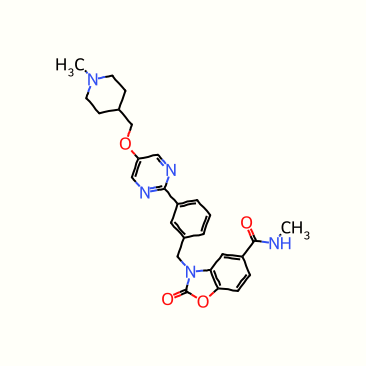 CNC(=O)c1ccc2oc(=O)n(Cc3cccc(-c4ncc(OCC5CCN(C)CC5)cn4)c3)c2c1